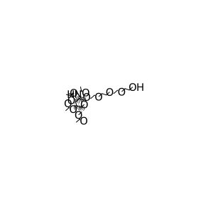 CC(=O)N[C@H]1[C@H](OCCOCCOCCOCCO)O[C@H](COC(C)=O)[C@H](OC(C)=O)[C@@H]1OC(C)=O